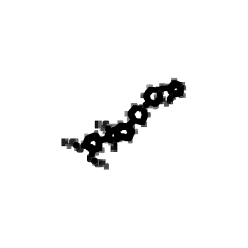 COc1ccc(-c2[nH]c3ccc(C4CCN(C5CCN(Cc6cncn6C)CC5)CC4)cc3c2C)cc1OC